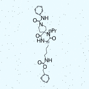 CCCN1C(=O)[C@H](CCCCNC(=O)OCc2ccccc2)NC(=O)C12CCN(C(=O)Nc1ccccc1)CC2